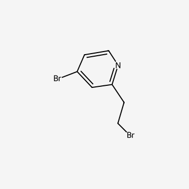 BrCCc1cc(Br)ccn1